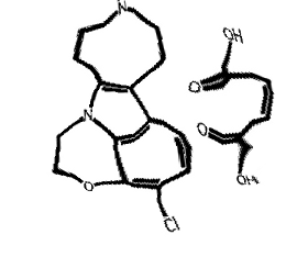 Clc1ccc2c3c(n4c2c1OCC4)CCNCC3.O=C(O)/C=C\C(=O)O